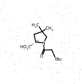 CC(C)(C)CC(=O)N1CC(C)(C)C[C@H]1C(=O)O